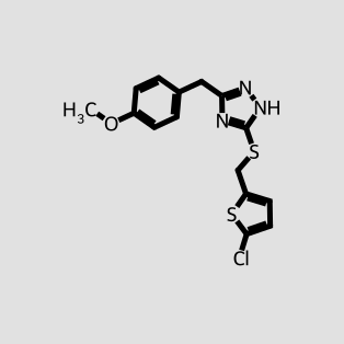 COc1ccc(Cc2n[nH]c(SCc3ccc(Cl)s3)n2)cc1